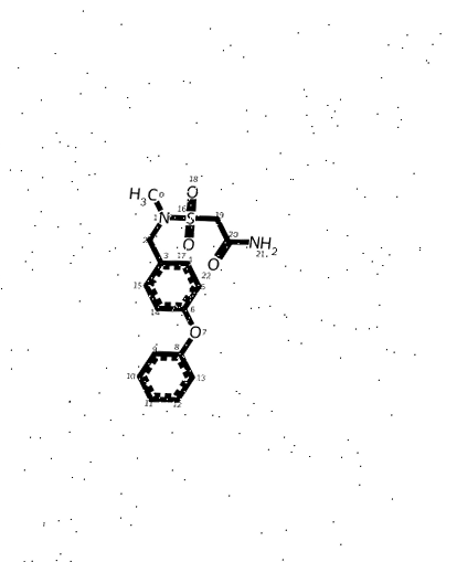 CN(Cc1ccc(Oc2ccccc2)cc1)S(=O)(=O)CC(N)=O